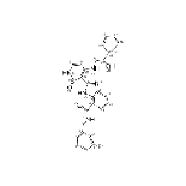 O=C(NCc1cccc(F)c1)c1cccc2nc(-c3c(NCC(O)c4ccccc4)cc[nH]c3=O)[nH]c12